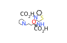 O=C(O)CN1C(=O)C(N[C@H](CCCCN2CCCCC2)C(=O)O)CSc2ccccc21